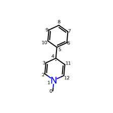 CN1C=C[C](c2ccccc2)C=C1